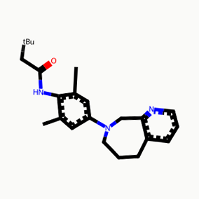 Cc1cc(N2CCCc3cccnc3C2)cc(C)c1NC(=O)CC(C)(C)C